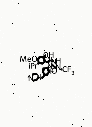 COc1cc(O)c(-c2nnc(C(=O)NCC(F)(F)F)n2-c2ccc(CN3CCN(C)CC3)cc2F)cc1C(C)C